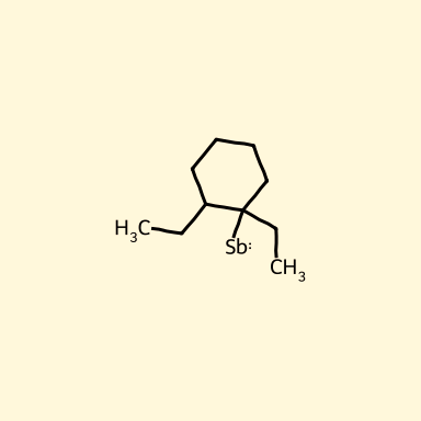 CCC1CCCC[C]1([Sb])CC